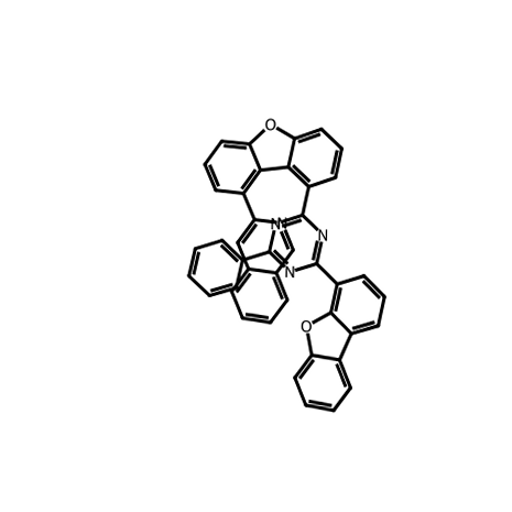 c1ccc(-c2nc(-c3cccc4c3oc3ccccc34)nc(-c3cccc4oc5cccc(-c6cc7ccccc7cn6)c5c34)n2)cc1